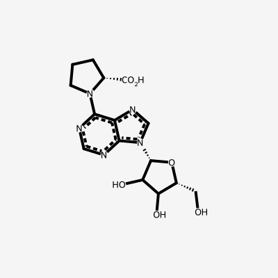 O=C(O)[C@H]1CCCN1c1ncnc2c1ncn2[C@@H]1O[C@H](CO)C(O)C1O